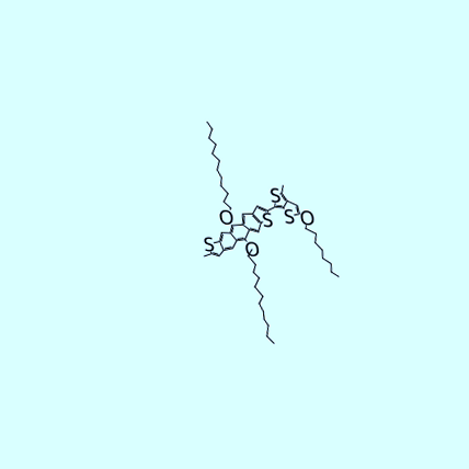 CCCCCCCCCCCCOc1c2cc3cc(-c4sc(C)c5cc(OCCCCCCCC)sc45)sc3cc2c(OCCCCCCCCCCCC)c2cc3cc(C)sc3cc12